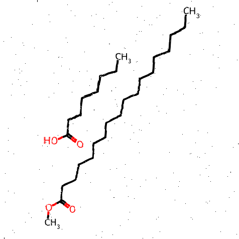 CCCCCCCC(=O)O.CCCCCCCCCCCCCCCCCC(=O)OC